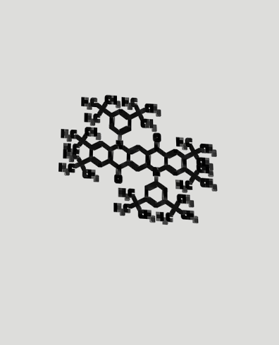 CC(C)(C)c1cc(-n2c3cc(C(C)(C)C)c(C(C)(C)C)cc3c(=O)c3cc4c(cc32)c(=O)c2cc(C(C)(C)C)c(C(C)(C)C)cc2n4-c2cc(C(C)(C)C)cc(C(C)(C)C)c2)cc(C(C)(C)C)c1